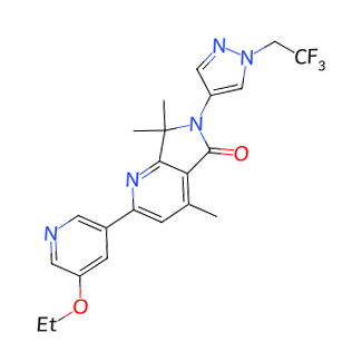 CCOc1cncc(-c2cc(C)c3c(n2)C(C)(C)N(c2cnn(CC(F)(F)F)c2)C3=O)c1